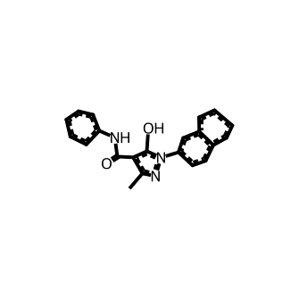 Cc1nn(-c2ccc3ccccc3c2)c(O)c1C(=O)Nc1ccccc1